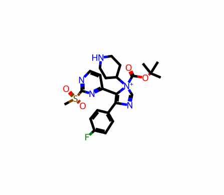 CC(C)(C)OC(=O)[N+]1(C2CCNCC2)C=NC(c2ccc(F)cc2)=C1c1ccnc(S(C)(=O)=O)n1